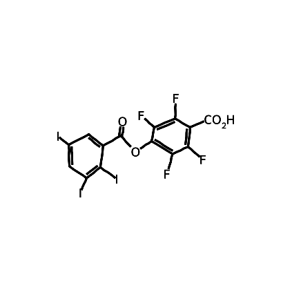 O=C(Oc1c(F)c(F)c(C(=O)O)c(F)c1F)c1cc(I)cc(I)c1I